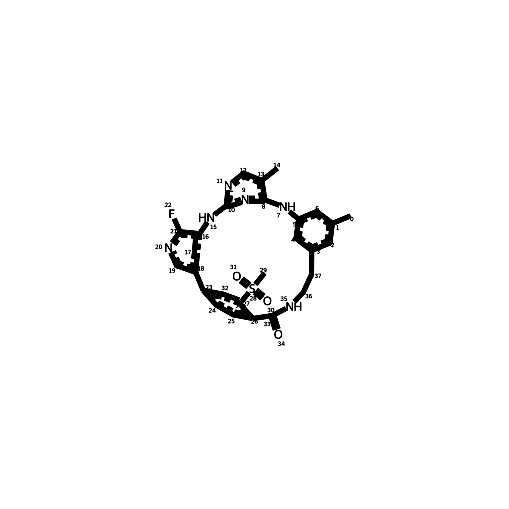 Cc1cc2cc(c1)Nc1nc(ncc1C)Nc1cc(cnc1F)-c1ccc(c(S(C)(=O)=O)c1)C(=O)NCC2